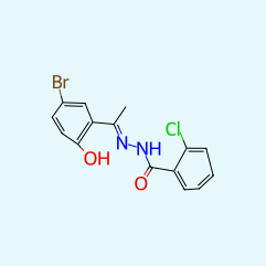 C/C(=N\NC(=O)c1ccccc1Cl)c1cc(Br)ccc1O